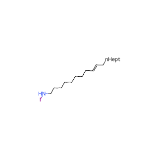 CCCCCCCCC=CCCCCCCCCNI